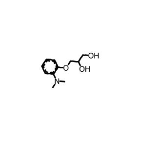 CN(C)c1ccccc1OCC(O)CO